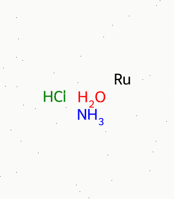 Cl.N.O.[Ru]